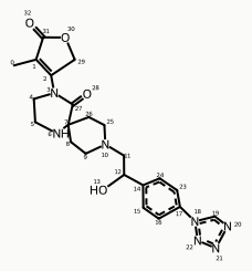 CC1=C(N2CCNC3(CCN(CC(O)c4ccc(-n5cnnn5)cc4)CC3)C2=O)COC1=O